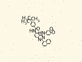 CC(C)(C)c1ccc(C(=O)Nc2ccc3nc(-c4cccc5ccccc45)nc(Nc4ccc5c(c4)OCO5)c3c2)cc1